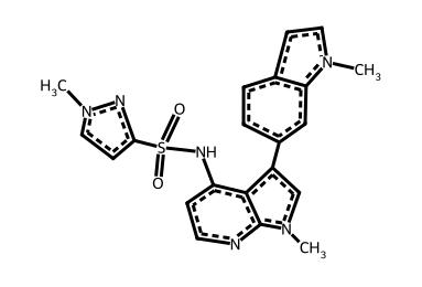 Cn1ccc(S(=O)(=O)Nc2ccnc3c2c(-c2ccc4ccn(C)c4c2)cn3C)n1